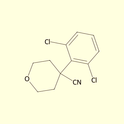 N#CC1(c2c(Cl)cccc2Cl)CCOCC1